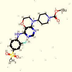 CC(C)(C)OC(=O)N1CCC(N2CCOc3c(Nc4ccc(S(C)(=O)=O)cc4F)ncnc32)CC1